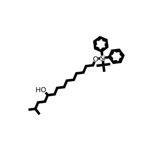 CC(C)CCC(O)CCCCCCCCCO[Si](c1ccccc1)(c1ccccc1)C(C)(C)C